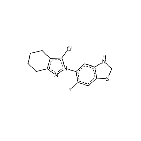 Fc1cc2c(cc1-n1nc3c(c1Cl)CCCC3)NCS2